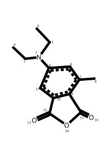 CCN(CC)c1cc(C)c2c(c1)C(=O)OC2=O